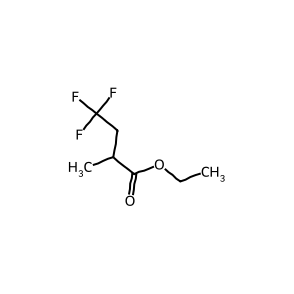 CCOC(=O)C(C)CC(F)(F)F